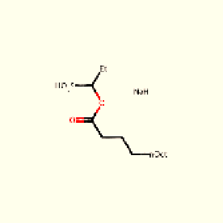 CCCCCCCCCCCC(=O)OC(CC)S(=O)(=O)O.[NaH]